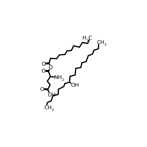 CCCCCCCCCCCC(=O)OC(=O)C(N)CCC(=O)O.CCCCCCCCCCCC(O)CCCCCCCC